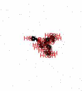 O=C(/C=C/c1ccc(O)cc1)OC[C@H]1O[C@@H](Oc2c(-c3ccc(O[C@@H]4O[C@H](CO)[C@@H](O)C(O)C4O)cc3)oc3cc(O[C@@H]4OC(CO)[C@@H](O)[C@H](O)C4O)cc(O)c3c2=O)C(O)C(O)[C@@H]1O